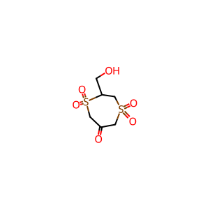 O=C1CS(=O)(=O)CC(CO)S(=O)(=O)C1